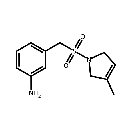 CC1=CCN(S(=O)(=O)Cc2cccc(N)c2)C1